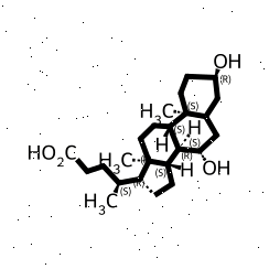 C[C@@H](CCC(=O)O)[C@H]1CC[C@H]2[C@@H]3[C@@H](O)CC4C[C@H](O)CC[C@]4(C)[C@H]3CC[C@]12C